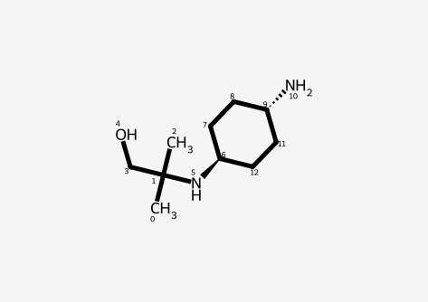 CC(C)(CO)N[C@H]1CC[C@H](N)CC1